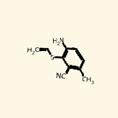 C=CSc1c(N)ccc(C)c1C#N